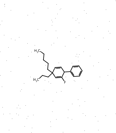 CCCCCC1(CCC)C=CC(c2ccccc2)C(F)=C1